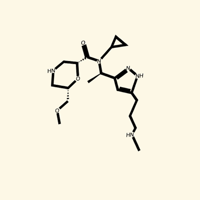 CNCCCc1cc([C@@H](C)N(C(=O)[C@H]2CNC[C@@H](COC)O2)C2CC2)n[nH]1